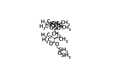 CC(CC[Si](C)(O[Si](C)(C)C)O[Si](C)(C)C)=C(C(=O)OC[SiH2]O[SiH3])C(C)(C)C